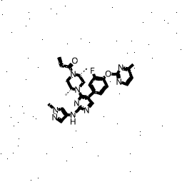 C=CC(=O)N1C[C@@H](C)N(c2nc(Nc3cnn(C)c3)ncc2-c2ccc(Oc3nccc(C)n3)c(F)c2)C[C@H]1C